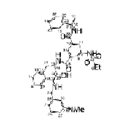 CCS(=O)(=O)Nc1cc(C(=O)N[C@@H](Cc2ccccc2)[C@H](O)CNCc2cccc(NC)c2)cc(C(=O)N[C@H](C)c2ccccc2)c1